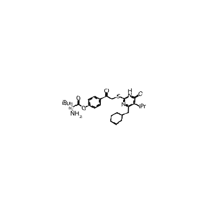 CC[C@@H](C)[C@@H](N)C(=O)Oc1ccc(C(=O)CSc2nc(CC3CCCCC3)c(C(C)C)c(=O)[nH]2)cc1